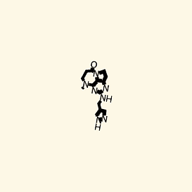 CN1CCC(=O)n2ccc3nc(NCc4cn[nH]c4)nc1c32